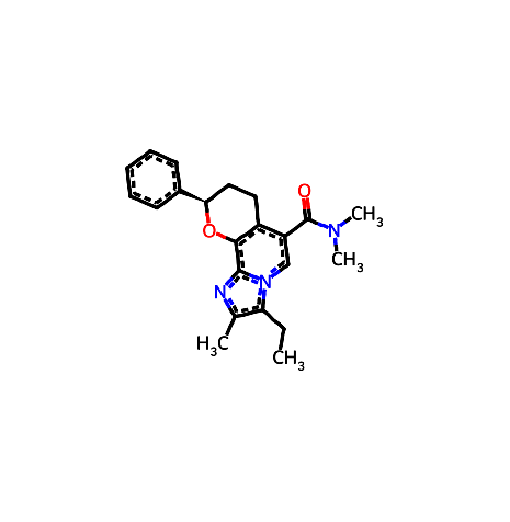 CCc1c(C)nc2c3c(c(C(=O)N(C)C)cn12)CC[C@H](c1ccccc1)O3